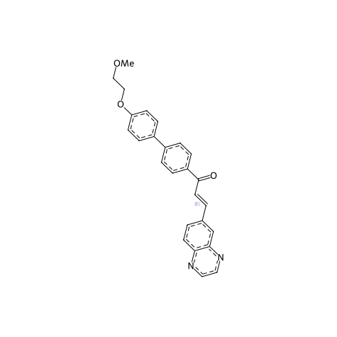 COCCOc1ccc(-c2ccc(C(=O)/C=C/c3ccc4nccnc4c3)cc2)cc1